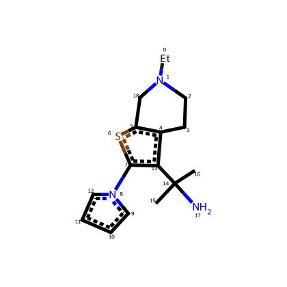 CCN1CCc2c(sc(-n3cccc3)c2C(C)(C)N)C1